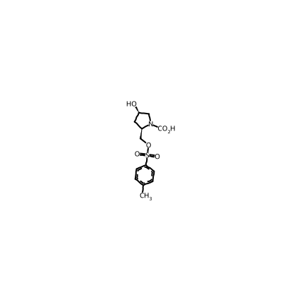 Cc1ccc(S(=O)(=O)OC[C@H]2C[C@@H](O)CN2C(=O)O)cc1